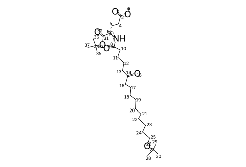 COC(=O)CC[C@H](NC(=O)CCCCC(=O)CCCCCCCCCCOC(C)(C)C)C(=O)OC(C)(C)C